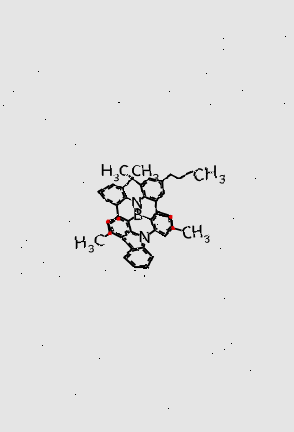 CCCCc1cc(CCCC)c2c(c1)C(C)(C)c1cccc(CCCC)c1N2B1c2ccccc2-n2c3ccccc3c3cccc1c32